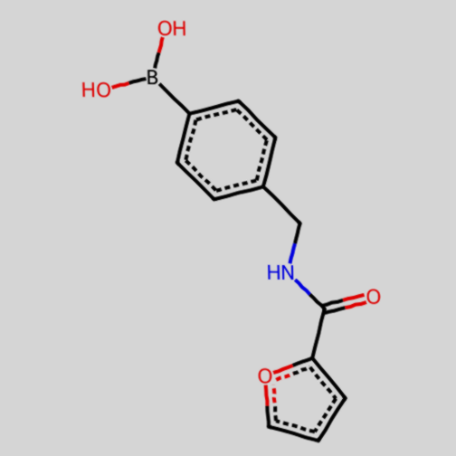 O=C(NCc1ccc(B(O)O)cc1)c1ccco1